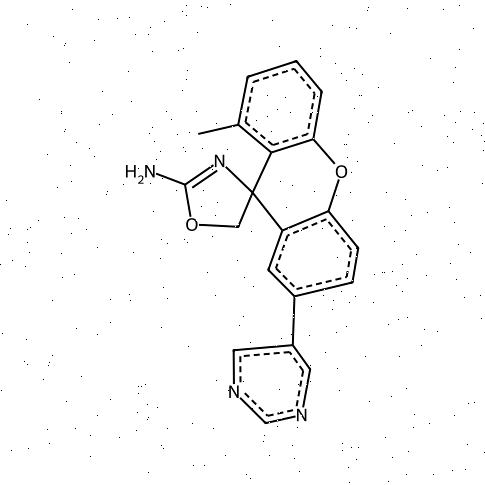 Cc1cccc2c1C1(COC(N)=N1)c1cc(-c3cncnc3)ccc1O2